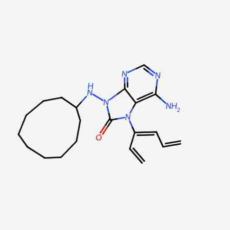 C=C/C=C(\C=C)n1c(=O)n(NC2CCCCCCCCC2)c2ncnc(N)c21